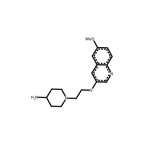 COc1ccc2ncc(SCCN3CCC(N)CC3)cc2c1